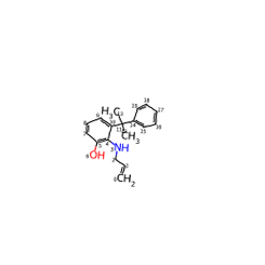 C=CCNc1c(O)cccc1C(C)(C)c1ccccc1